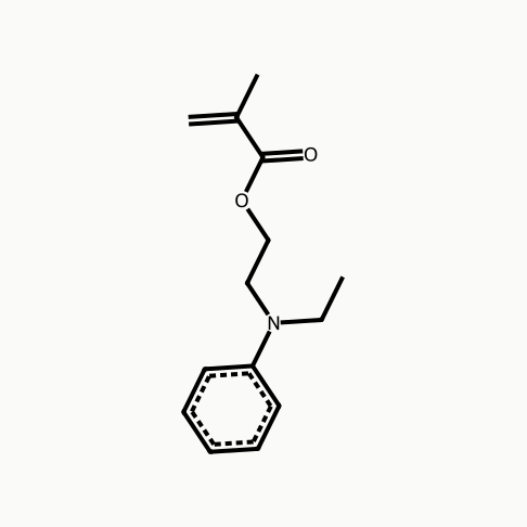 C=C(C)C(=O)OCCN(CC)c1ccccc1